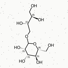 OC[C@@H](O)[C@@H](O)COC1O[C@H](CO)[C@@H](O)[C@H](O)[C@@H]1O